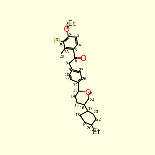 CCOc1ccc(C(=O)Cc2ccc(C3CCC(C4CCC(CC)CC4)CO3)cc2)c(C)c1F